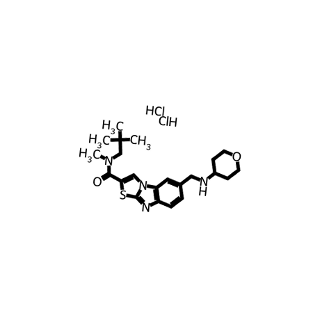 CN(CC(C)(C)C)C(=O)c1cn2c(nc3ccc(CNC4CCOCC4)cc32)s1.Cl.Cl